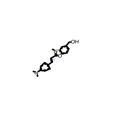 CN(C)c1ccc(/C=C/c2oc3ccc(CO)cc3[n+]2C)cc1